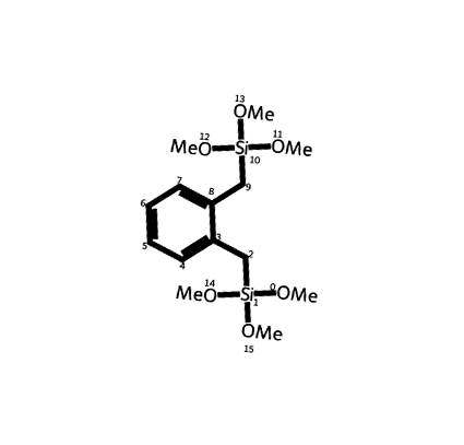 CO[Si](Cc1ccccc1C[Si](OC)(OC)OC)(OC)OC